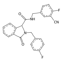 N#Cc1cc(CNC(=O)C2c3ccccc3C(=O)N2Cc2ccc(F)cc2)ccc1F